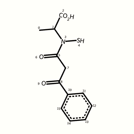 CC(C(=O)O)N(S)C(=O)CC(=O)c1ccccc1